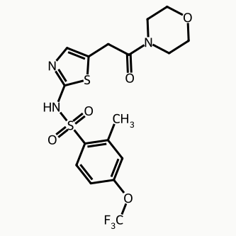 Cc1cc(OC(F)(F)F)ccc1S(=O)(=O)Nc1ncc(CC(=O)N2CCOCC2)s1